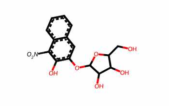 O=[N+]([O-])c1c(O)c(OC2OC(CO)C(O)C2O)cc2ccccc12